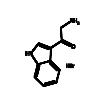 Br.NCC(=O)c1c[nH]c2ccccc12